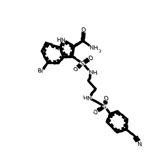 N#Cc1ccc(S(=O)(=O)NCCNS(=O)(=O)c2c(C(N)=O)[nH]c3ccc(Br)cc23)cc1